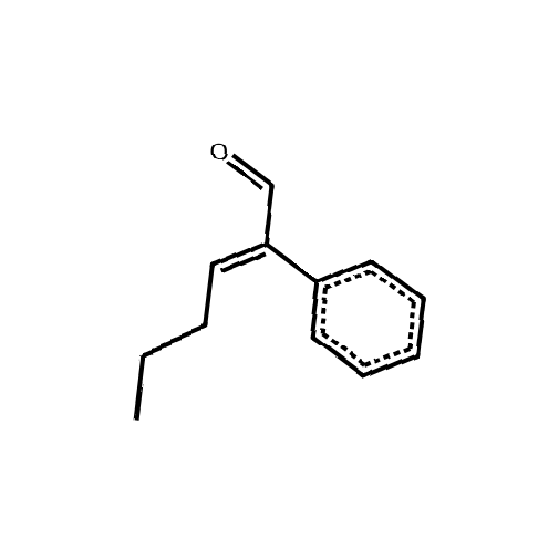 CCC/C=C(/C=O)c1ccccc1